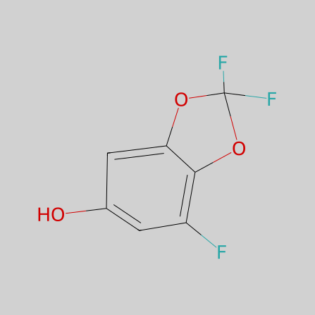 Oc1cc(F)c2c(c1)OC(F)(F)O2